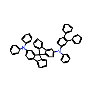 c1ccc(-c2ccc(N(c3ccccc3)c3ccc4c(c3)-c3ccccc3C43c4ccccc4-c4ccc(N(c5ccccc5)c5ccccc5)cc43)cc2-c2ccccc2)cc1